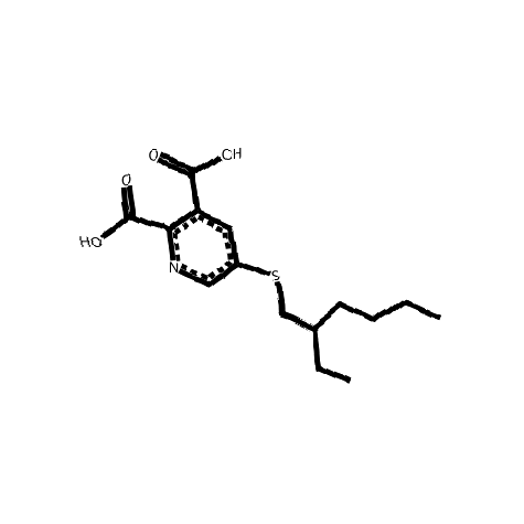 CCCCC(CC)CSc1cnc(C(=O)O)c(C(=O)O)c1